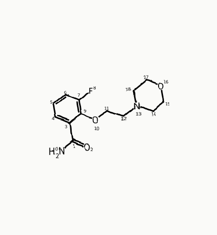 NC(=O)c1cc[c]c(F)c1OCCN1CCOCC1